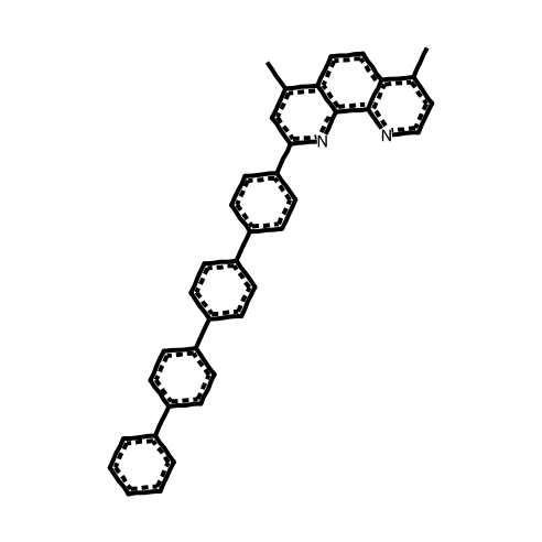 Cc1ccnc2c1ccc1c(C)cc(-c3ccc(-c4ccc(-c5ccc(-c6ccccc6)cc5)cc4)cc3)nc12